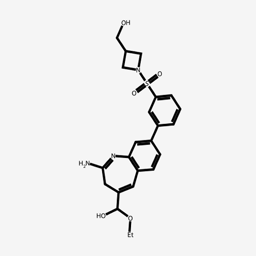 CCOC(O)C1=Cc2ccc(-c3cccc(S(=O)(=O)N4CC(CO)C4)c3)cc2N=C(N)C1